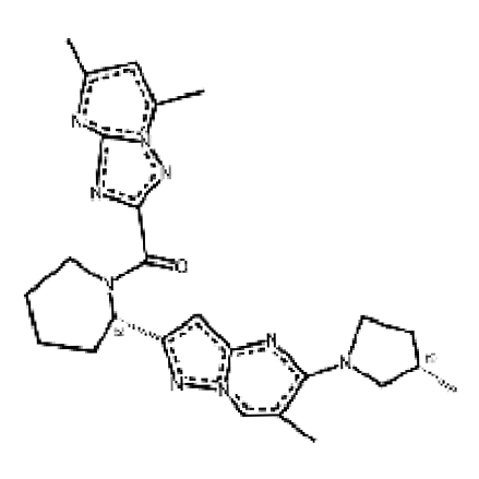 Cc1cc(C)n2nc(C(=O)N3CCCC[C@H]3c3cc4nc(N5CC[C@H](C)C5)c(C)cn4n3)nc2n1